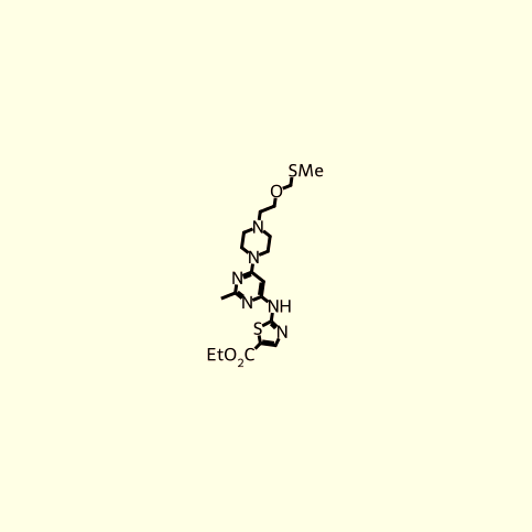 CCOC(=O)c1cnc(Nc2cc(N3CCN(CCOCSC)CC3)nc(C)n2)s1